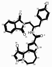 O=C(NC(Cc1ccc(Cl)cc1)CN1C(=O)c2ccccc2C1=O)c1cc2c(s1)CCCn1ncc(Cl)c1-2